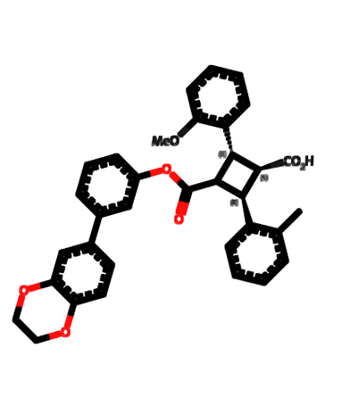 COc1ccccc1[C@H]1C(C(=O)Oc2cccc(-c3ccc4c(c3)OCCO4)c2)[C@H](c2ccccc2C)[C@@H]1C(=O)O